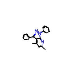 Cc1cc(C)c2c(-c3ccccc3)nn(-c3ccccc3)c2n1